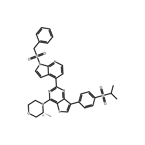 CC(C)S(=O)(=O)c1ccc(-c2csc3c(N4CCOC[C@H]4C)nc(-c4ccnc5c4ccn5S(=O)(=O)Cc4ccccc4)nc23)cc1